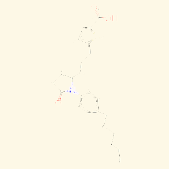 CCCCCCc1ccc(N2C(=O)CCC2CCCc2ccc(C(=O)O)s2)cc1